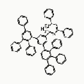 CCC(/N=C(\N=C(/C)c1cc(-c2cc(-c3ccccc3)cc(-c3ccccc3)c2-c2ccccc2)cc(-c2ccc(-c3ccccc3)c(C3=CC=CCC3)c2-c2ccccc2)c1)c1ccccc1)c1ccccc1